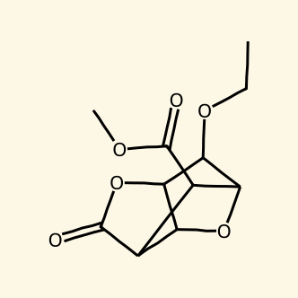 CCOC1C2OC(=O)C3C2OC1C3C(=O)OC